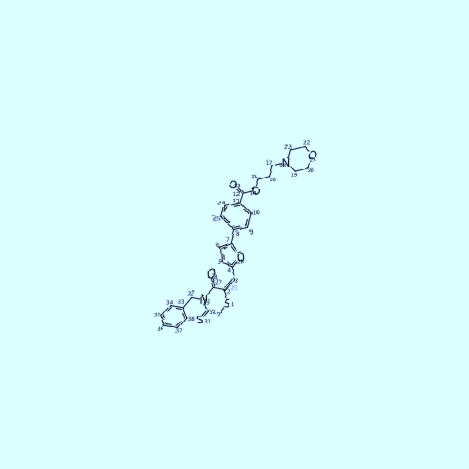 CS/C(=C/c1ccc(-c2ccc(C(=O)OCCCN3CCOCC3)cc2)o1)C(=O)N(C=S)Cc1ccccc1